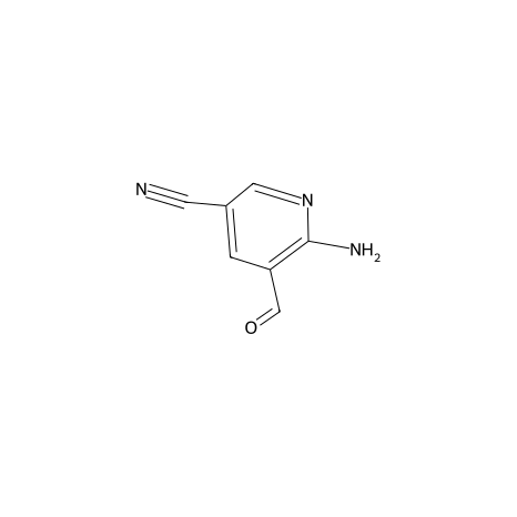 N#Cc1cnc(N)c(C=O)c1